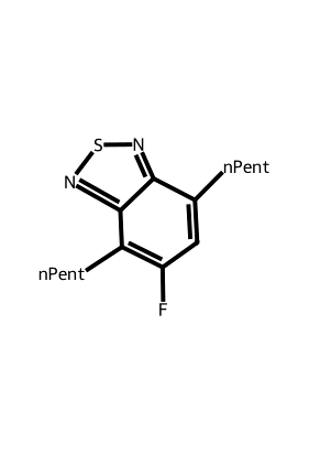 CCCCCc1cc(F)c(CCCCC)c2nsnc12